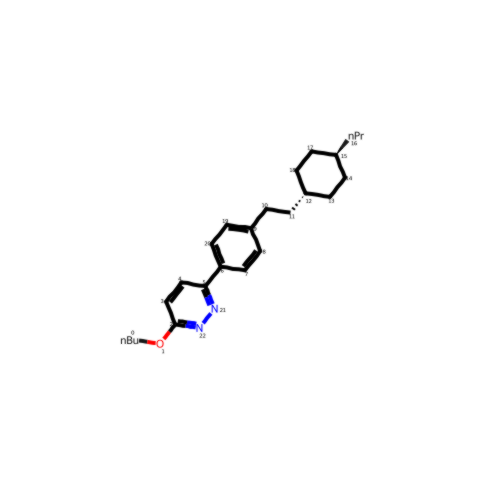 CCCCOc1ccc(-c2ccc(CC[C@H]3CC[C@H](CCC)CC3)cc2)nn1